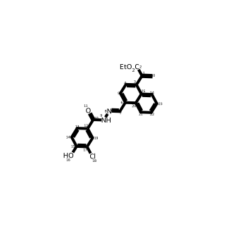 C=C(C(=O)OCC)c1ccc(C=NNC(=O)c2ccc(O)c(Cl)c2)c2ccccc12